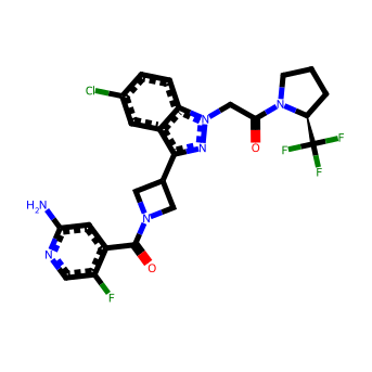 Nc1cc(C(=O)N2CC(c3nn(CC(=O)N4CCC[C@H]4C(F)(F)F)c4ccc(Cl)cc34)C2)c(F)cn1